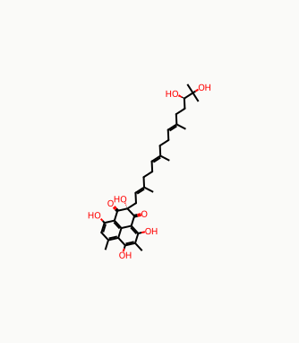 C/C(=C\CC/C(C)=C/C[C@]1(O)C(=O)c2c(O)cc(C)c3c(O)c(C)c(O)c(c23)C1=O)CC/C=C(\C)CC[C@@H](O)C(C)(C)O